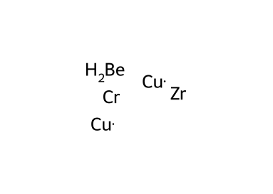 [BeH2].[Cr].[Cu].[Cu].[Zr]